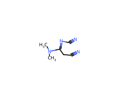 CN(C)C(CC#N)=NC#N